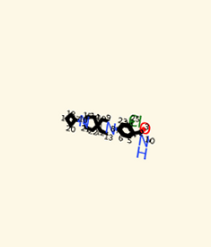 CNC(=O)c1ccc(N2CCC3(CC2)CCN(C2CCC2)CC3)cc1Cl